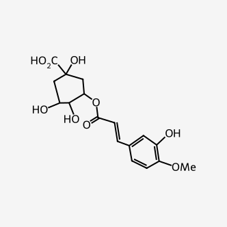 COc1ccc(/C=C/C(=O)OC2CC(O)(C(=O)O)CC(O)C2O)cc1O